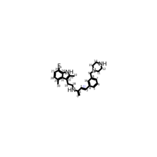 C=C(/C=C/c1cccc(CN2CCNCC2)c1)NCCc1c(C)[nH]c2c(F)ccc(C)c12